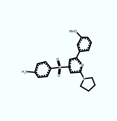 COc1cccc(-c2cc(S(=O)(=O)c3ccc(N)cc3)cc(N3CCCC3)n2)c1